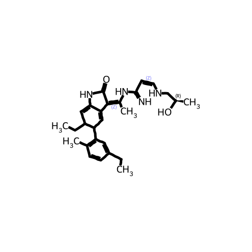 CCc1ccc(C)c(C2C=C3C(=CC2CC)NC(=O)/C3=C(/C)NC(=N)/C=C\NC[C@@H](C)O)c1